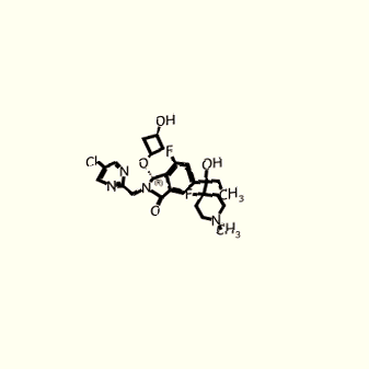 CCC(O)(c1cc(F)c2c(c1)C(=O)N(Cc1ncc(Cl)cn1)[C@@H]2O[C@H]1C[C@@H](O)C1)C1(F)CCN(C)CC1